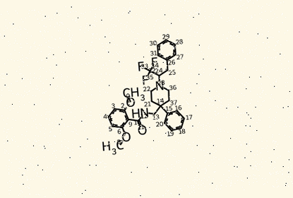 COc1cccc(OC)c1C(=O)NCC1(c2ccccc2)CCN(C(Cc2ccccc2)C(F)(F)F)CC1